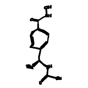 CC(C)(C)C(=O)N[C@H](c1ccc(C(=O)NO)cc1)C(C)(C)C